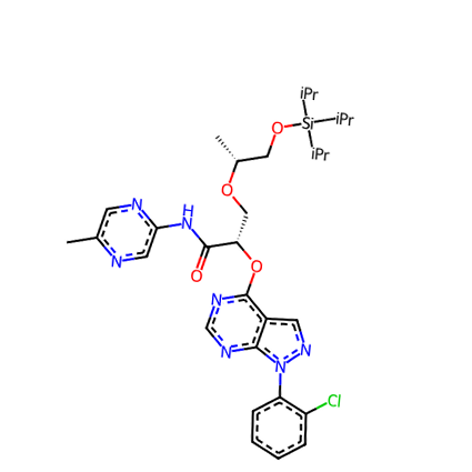 Cc1cnc(NC(=O)[C@H](CO[C@H](C)CO[Si](C(C)C)(C(C)C)C(C)C)Oc2ncnc3c2cnn3-c2ccccc2Cl)cn1